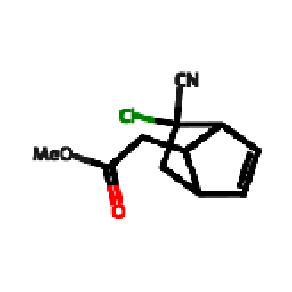 COC(=O)CC1C2C=CC1C(Cl)(C#N)C2